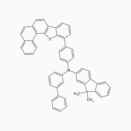 CC1(C)c2ccccc2-c2ccc(N(c3ccc(-c4cccc5c4sc4c5ccc5ccc6ccccc6c54)cc3)c3cccc(-c4ccccc4)c3)cc21